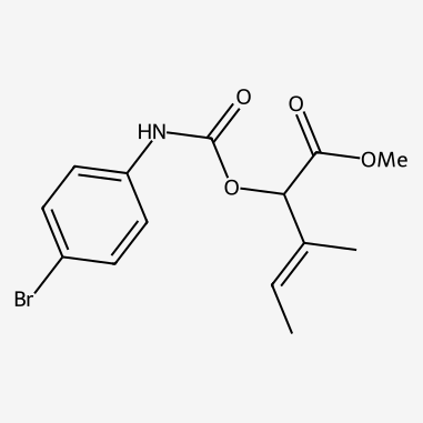 CC=C(C)C(OC(=O)Nc1ccc(Br)cc1)C(=O)OC